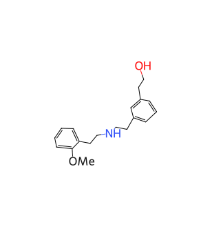 COc1ccccc1CCNCCc1cccc(CCO)c1